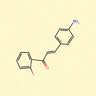 Nc1ccc(/C=C/C(=O)c2ccccc2I)cc1